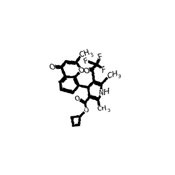 CC1=C(C(=O)OC2CCC2)C(c2cccc3c(=O)cc(C)oc23)C(C(=O)C(F)(F)F)=C(C)N1